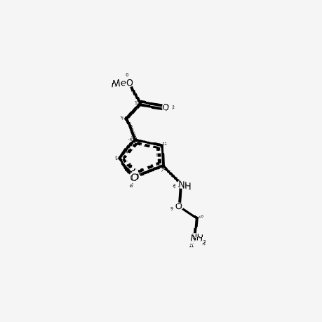 COC(=O)Cc1coc(NOCN)c1